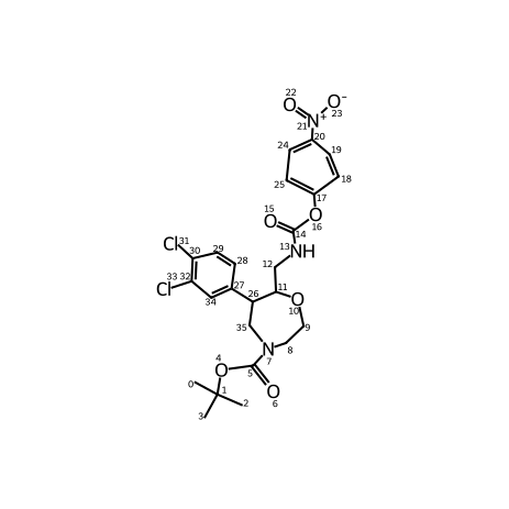 CC(C)(C)OC(=O)N1CCOC(CNC(=O)Oc2ccc([N+](=O)[O-])cc2)C(c2ccc(Cl)c(Cl)c2)C1